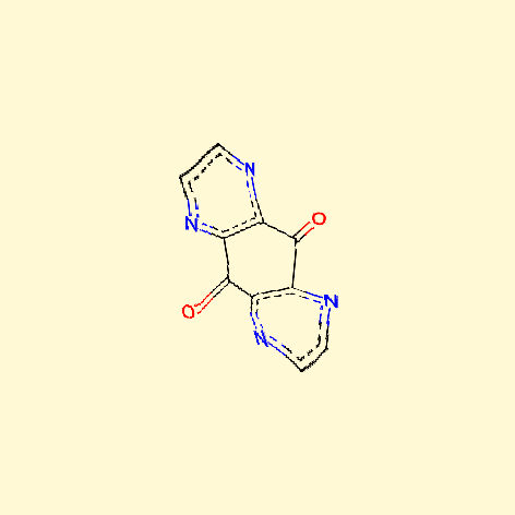 O=C1c2nccnc2C(=O)c2nccnc21